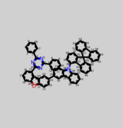 c1ccc(-c2nc(-c3ccccc3)nc(-c3cccc4oc5ccc(-c6ccc7c(c6)c6ccccc6n7-c6cccc7c6-c6ccccc6C76c7ccccc7-c7ccccc76)cc5c34)n2)cc1